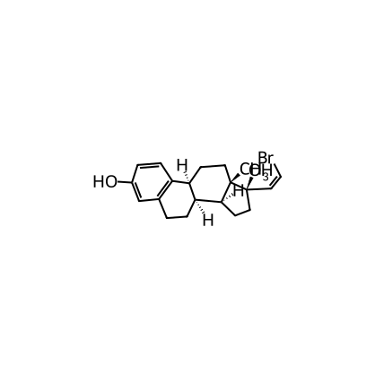 C[C@]12CC[C@@H]3c4ccc(O)cc4CC[C@@H]3[C@@H]1CC[C@@]2(O)/C=C\Br